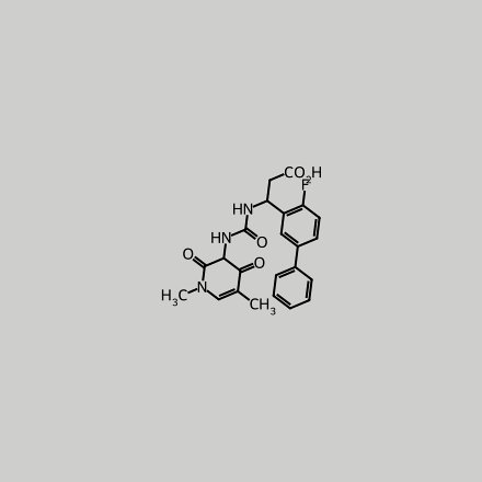 CC1=CN(C)C(=O)C(NC(=O)NC(CC(=O)O)c2cc(-c3ccccc3)ccc2F)C1=O